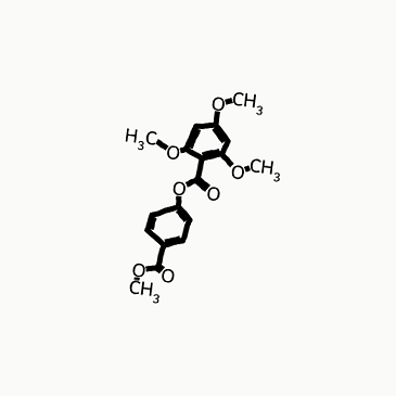 COC(=O)c1ccc(OC(=O)c2c(OC)cc(OC)cc2OC)cc1